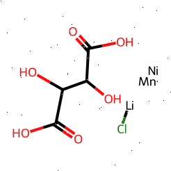 O=C(O)C(O)C(O)C(=O)O.[Li][Cl].[Mn].[Ni]